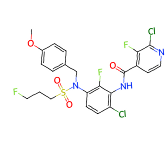 COc1ccc(CN(c2ccc(Cl)c(NC(=O)c3ccnc(Cl)c3F)c2F)S(=O)(=O)CCCF)cc1